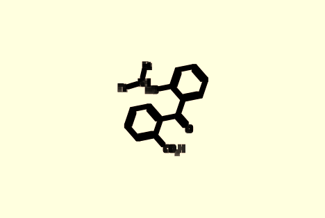 CCNCC.O=C(O)c1ccccc1C(=O)c1ccccc1O